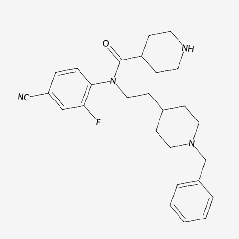 N#Cc1ccc(N(CCC2CCN(Cc3ccccc3)CC2)C(=O)C2CCNCC2)c(F)c1